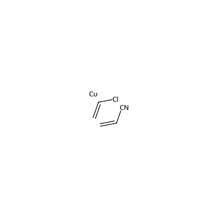 C=CC#N.C=CCl.[Cu]